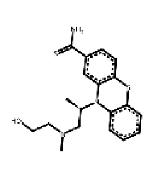 C[C@H](CN(C)CCO)N1c2ccccc2Sc2ccc(C(N)=S)cc21